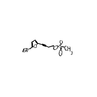 CS(=O)(=O)OCC#Cc1ccc(Br)o1